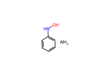 ONc1ccccc1.[AlH3]